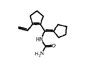 C=CC1=C(C(NC(N)=O)=C2CCCC2)CCC1